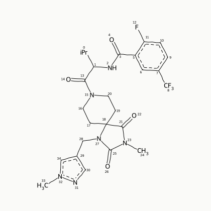 CC(C)C(NC(=O)c1cc(C(F)(F)F)ccc1F)C(=O)N1CCC2(CC1)C(=O)N(C)C(=O)N2Cc1cnn(C)c1